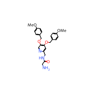 COc1ccc(COc2cnc(CNC(=O)CN)cc2OCc2ccc(OC)cc2)cc1